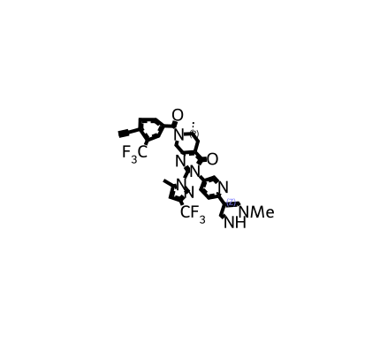 C#Cc1ccc(C(=O)N2Cc3nc(-n4nc(C(F)(F)F)cc4C)n(-c4ccc(/C(C=N)=C/NC)nc4)c(=O)c3C[C@H]2C)cc1C(F)(F)F